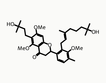 COc1cc2c(c(OC)c1CCC(C)(C)O)C(=O)CC(c1ccc(C)c(OC)c1C/C=C(\C)CCCC(C)(C)O)O2